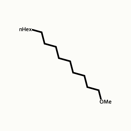 CCCCCCCCCCCCCCCOC